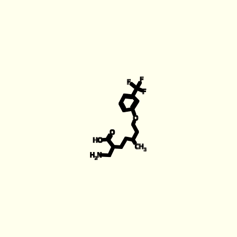 CC(CCOc1cccc(C(F)(F)F)c1)CCC(CN)C(=O)O